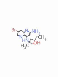 CCCC[C@](C)(CO)Nc1cc(N)nc2cc(Br)cnc12